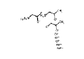 CC([O-])C[O-].CC([O-])C[O-].CC([O-])C[O-].[Fe+3].[Fe+3].[Fe+3].[Fe+3].[O-2].[O-2].[O-2]